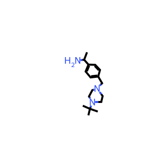 CC(N)c1ccc(CN2CCN(C(C)(C)C)CC2)cc1